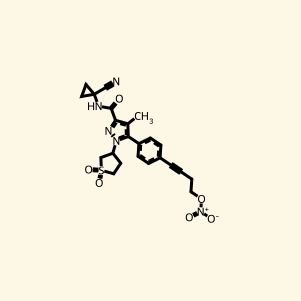 Cc1c(C(=O)NC2(C#N)CC2)nn(C2CCS(=O)(=O)C2)c1-c1ccc(C#CCCO[N+](=O)[O-])cc1